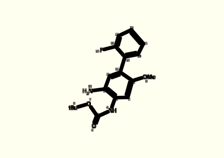 COc1cc(NC(=O)OC(C)(C)C)c(N)cc1-c1ccccc1F